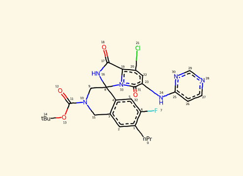 CCCc1cc2c(cc1F)C1(CN(C(=O)OC(C)(C)C)C2)NC(=O)c2c(Cl)cc(Nc3ccncn3)c(=O)n21